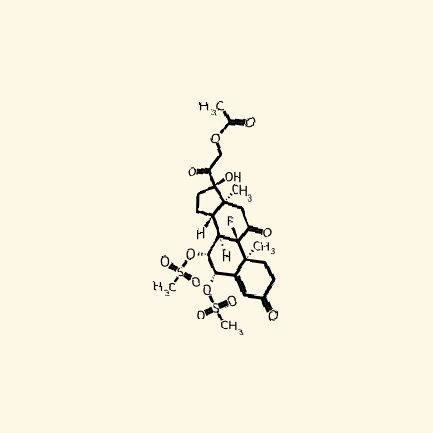 CC(=O)OCC(=O)[C@@]1(O)CC[C@H]2[C@@H]3[C@@H](OS(C)(=O)=O)[C@@H](OS(C)(=O)=O)C4=CC(=O)CC[C@]4(C)[C@@]3(F)C(=O)C[C@@]21C